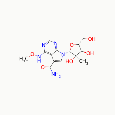 CONc1ncnc2c1c(C(N)=O)cn2[C@@H]1O[C@H](CO)[C@@H](O)[C@@]1(C)O